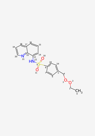 CCOOCc1ccc(S(=O)(=O)Nc2cccc3cccnc23)cc1